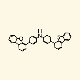 C1=CC2OC3=C(C4C=CC(NC5C=CC(C6CC=Cc7c6sc6ccccc76)=CC5)=CC4)C=CCC3C2C=C1